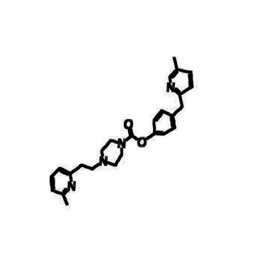 Cc1ccc(Cc2ccc(OC(=O)N3CCN(CCc4cccc(C)n4)CC3)cc2)nc1